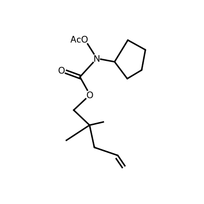 C=CCC(C)(C)COC(=O)N(OC(C)=O)C1CCCC1